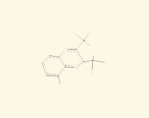 FC(F)(F)c1nc2cccc(Cl)c2nc1C(F)(F)F